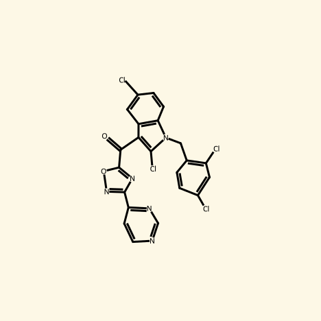 O=C(c1nc(-c2ccncn2)no1)c1c(Cl)n(Cc2ccc(Cl)cc2Cl)c2ccc(Cl)cc12